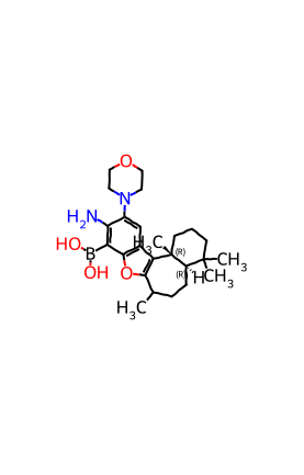 CC1CC[C@@H]2C(C)(C)CCC[C@@]2(C)c2c1oc1c(B(O)O)c(N)c(N3CCOCC3)cc21